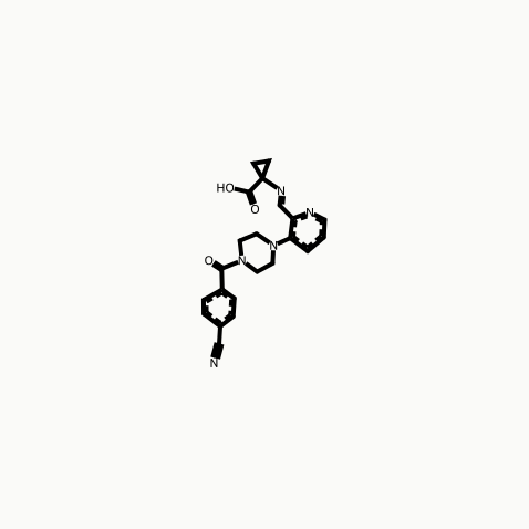 N#Cc1ccc(C(=O)N2CCN(c3cccnc3C=NC3(C(=O)O)CC3)CC2)cc1